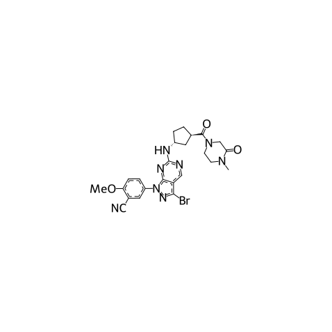 COc1ccc(-n2nc(Br)c3cnc(N[C@@H]4CC[C@@H](C(=O)N5CCN(C)C(=O)C5)C4)nc32)cc1C#N